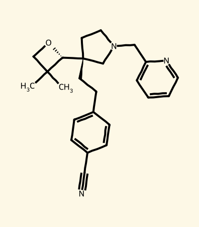 CC1(C)CO[C@@H]1[C@]1(CCc2ccc(C#N)cc2)CCN(Cc2ccccn2)C1